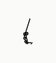 CCCCCCCCCCCCCCCC(=O)OC1CC[C@@]2(C)C(=CCC3C2CC[C@@]2(C)C3CC[C@@H]2[C@H](C)CCCC(C)C)C1